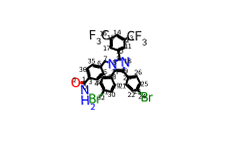 NC(=O)c1ccc(Cn2c(-c3cc(C(F)(F)F)cc(C(F)(F)F)c3)nc(-c3ccc(Br)cc3)c2-c2ccc(Br)cc2)cc1